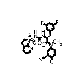 CN(C(=O)[C@H](Cc1cc(F)cc(F)c1)NC(=O)NS(=O)(=O)N1CCc2cccnc21)c1ccc(Cl)c(C#N)c1